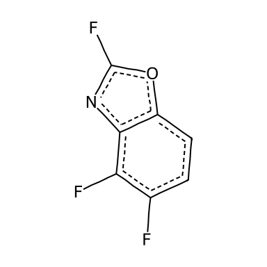 Fc1nc2c(F)c(F)ccc2o1